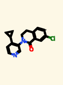 O=C1c2cc(Cl)[c]cc2CCN1c1cnccc1C1CC1